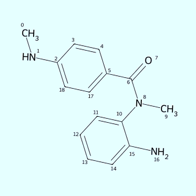 CNc1ccc(C(=O)N(C)c2ccccc2N)cc1